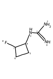 N=C(N)NC1CCC1F